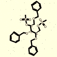 CS(=O)(=O)OC[C@@H](OCc1ccccc1)[C@H](OCc1ccccc1)[C@H](COCc1ccccc1)OS(C)(=O)=O